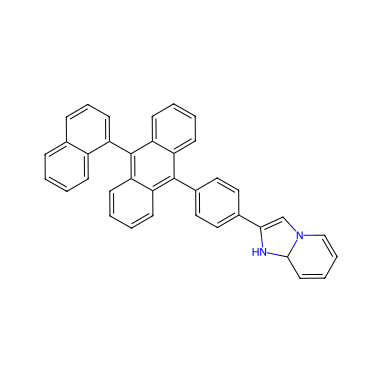 C1=CC2NC(c3ccc(-c4c5ccccc5c(-c5cccc6ccccc56)c5ccccc45)cc3)=CN2C=C1